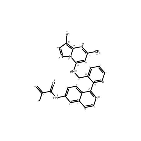 C=C(C)C(=O)Nc1ccc2c(-c3ccccc3CNc3cc(C(F)(F)F)nc4c(C(C)C)cnn34)nccc2c1